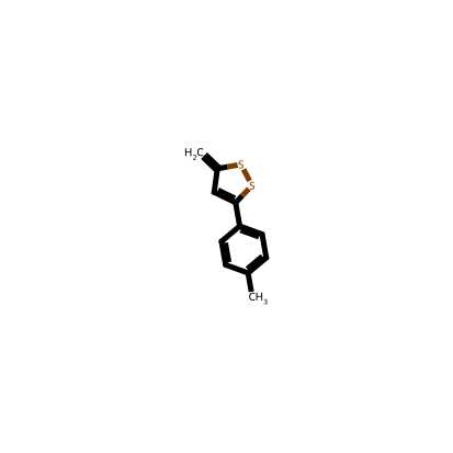 C=C1C=C(c2ccc(C)cc2)SS1